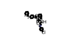 O=C(/C=C/c1ccc(Cl)cc1)N[C@@H](Cc1ccccn1)C(=O)NCC(=O)N1CCC(Sc2ccccn2)CC1